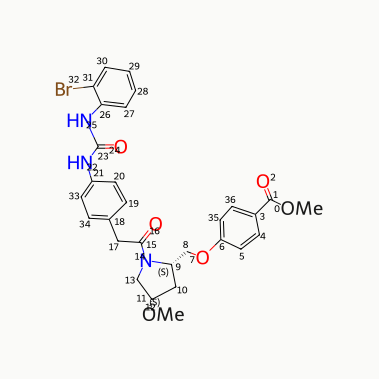 COC(=O)c1ccc(OC[C@@H]2C[C@H](OC)CN2C(=O)Cc2ccc(NC(=O)Nc3ccccc3Br)cc2)cc1